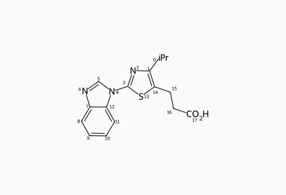 CC(C)c1nc(-n2cnc3ccccc32)sc1CCC(=O)O